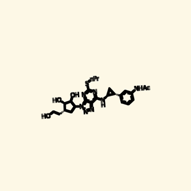 CCCSc1nc(N[C@H]2C[C@@H]2c2cccc(NC(C)=O)c2)c2nnn(C3C[C@H](CCO)[C@@H](O)C3O)c2n1